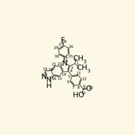 CC(C)c1c(-c2ccc(C(=O)O)cc2)c2cc3[nH]ncc3cc2n1-c1ccc(F)cc1